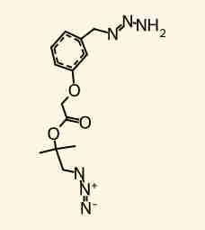 CC(C)(CN=[N+]=[N-])OC(=O)COc1cccc(CN=NN)c1